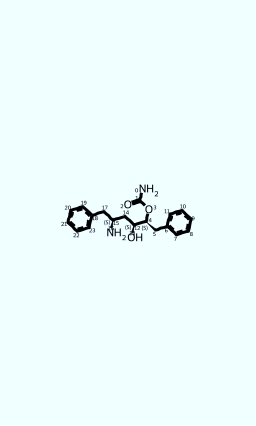 NC(=O)O[C@@H](Cc1ccccc1)[C@@H](O)C[C@@H](N)Cc1ccccc1